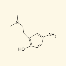 CN(C)CCc1cc(N)ccc1O